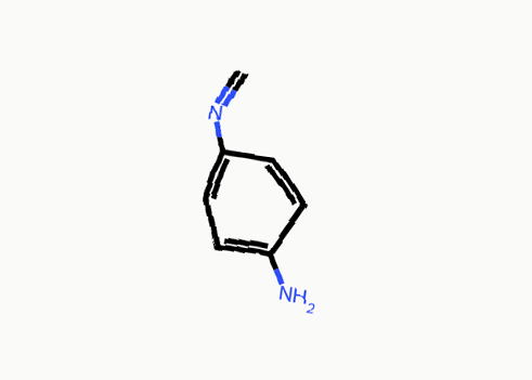 C=Nc1ccc(N)cc1